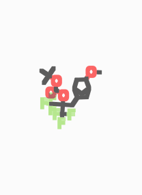 COC1CC2CC1CC2CC(OC(=O)OC(C)(C)C)(C(F)(F)F)C(F)(F)F